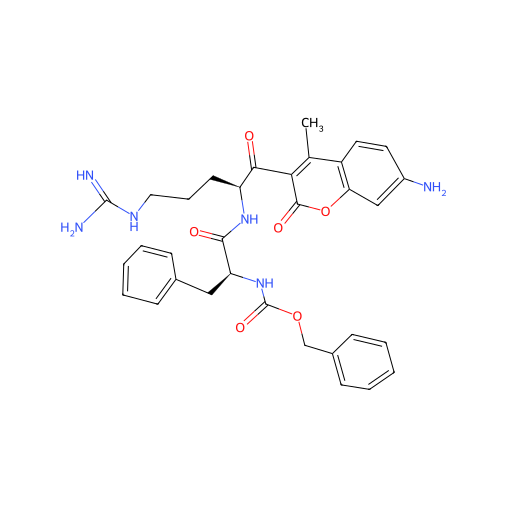 Cc1c(C(=O)[C@H](CCCNC(=N)N)NC(=O)[C@H](Cc2ccccc2)NC(=O)OCc2ccccc2)c(=O)oc2cc(N)ccc12